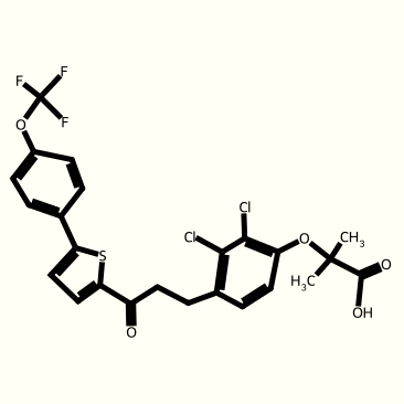 CC(C)(Oc1ccc(CCC(=O)c2ccc(-c3ccc(OC(F)(F)F)cc3)s2)c(Cl)c1Cl)C(=O)O